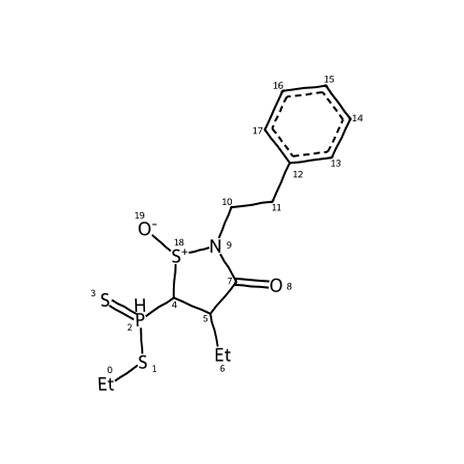 CCS[PH](=S)C1C(CC)C(=O)N(CCc2ccccc2)[S+]1[O-]